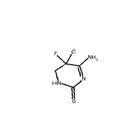 NC1=NC(=O)NCC1(F)Cl